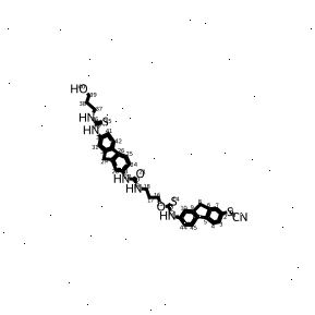 N#CSc1ccc2c(c1)Cc1cc(NC(=S)OCCCNC(=O)Nc3ccc4c(c3)Cc3cc(NC(=S)NCCCO)ccc3-4)ccc1-2